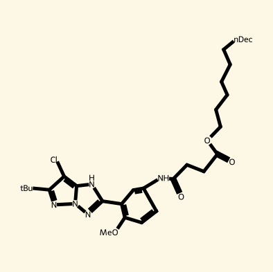 CCCCCCCCCCCCCCCCOC(=O)CCC(=O)Nc1ccc(OC)c(-c2nn3nc(C(C)(C)C)c(Cl)c3[nH]2)c1